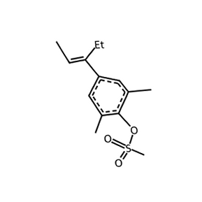 CC=C(CC)c1cc(C)c(OS(C)(=O)=O)c(C)c1